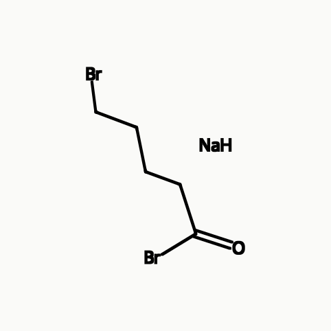 O=C(Br)CCCCBr.[NaH]